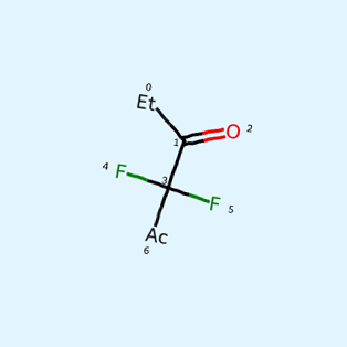 CCC(=O)C(F)(F)C(C)=O